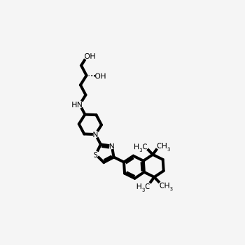 CC1(C)CCC(C)(C)c2cc(-c3csc(N4CCC(NCC[C@@H](O)CO)CC4)n3)ccc21